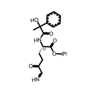 CC(C)OC(=O)[C@H](CCC(=O)C=N)NC(=O)C(C)(O)c1ccccc1